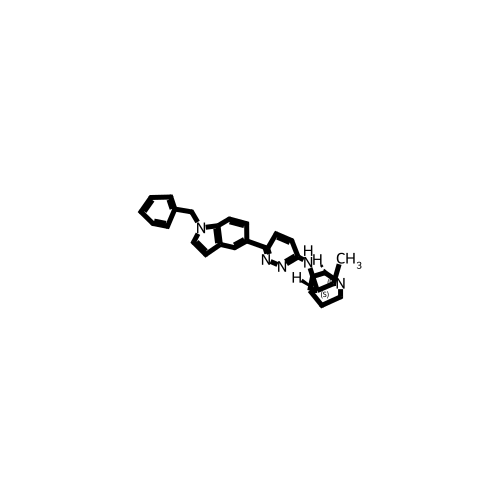 C[C@@H]1[C@@H](Nc2ccc(-c3ccc4c(ccn4Cc4ccccc4)c3)nn2)C2CCN1CC2